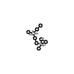 c1ccc(-c2ccc(C3=NC(c4ccccc4)NC(c4ccc(-c5cccc(N6c7c(c8ccccc8c8ncccc78)NC6c6ccccc6)c5)cc4)N3)cc2)cc1